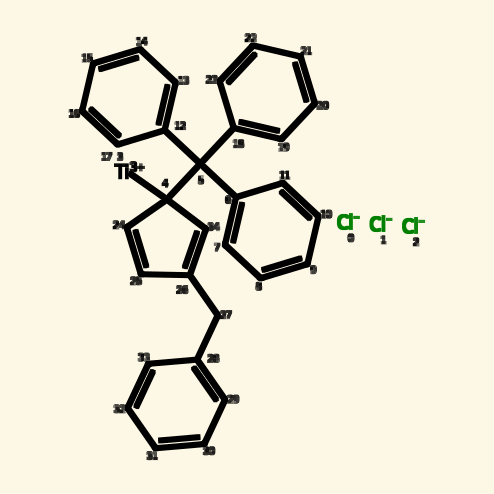 [Cl-].[Cl-].[Cl-].[Ti+3][C]1(C(c2ccccc2)(c2ccccc2)c2ccccc2)C=CC(Cc2ccccc2)=C1